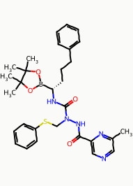 Cc1cncc(C(=O)NN(CSc2ccccc2)C(=O)N[C@@H](CCCc2ccccc2)B2OC(C)(C)C(C)(C)O2)n1